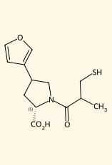 CC(CS)C(=O)N1CC(c2ccoc2)C[C@H]1C(=O)O